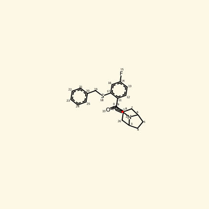 N#CN1C2CCC1CC(C(=O)c1ccc(F)cc1SCc1ccccc1)C2